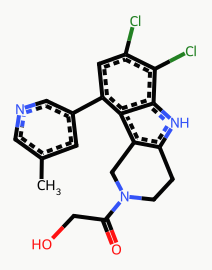 Cc1cncc(-c2cc(Cl)c(Cl)c3[nH]c4c(c23)CN(C(=O)CO)CC4)c1